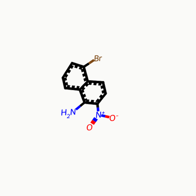 Nc1c([N+](=O)[O-])ccc2c(Br)cccc12